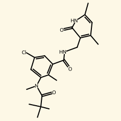 Cc1cc(C)c(CNC(=O)c2cc(Cl)cc(N(C)C(=O)C(C)(C)C)c2C)c(=O)[nH]1